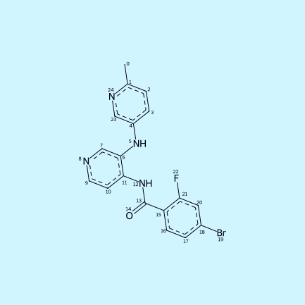 Cc1ccc(Nc2cnccc2NC(=O)c2ccc(Br)cc2F)cn1